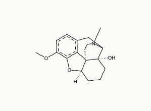 COc1ccc2c3c1O[C@@H]1CCC[C@]4(O)C(C2)N(C)CC[C@@]314